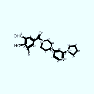 O=Cc1cc(C(=O)N2CCN(c3ccnc(N4CCCC4)c3)CC2)cc(F)c1O